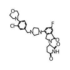 O=C1CCC(N2Cc3c(cc(F)cc3N3CCN(Cc4ccc(N5CCOCC5)c(Cl)c4)CC3)C2=O)C(=O)N1